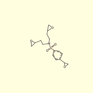 O=S(=O)(c1ccc(C2CO2)cc1)N(CCC1CO1)CCC1CO1